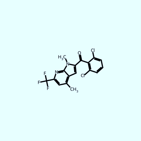 Cc1cc(C(F)(F)F)nc2c1cc(C(=O)c1c(Cl)[c]ccc1Cl)n2C